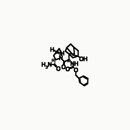 NC(=O)[C@@H]1C[C@@H]2C[C@@H]2N1C(=O)[C@@H](NC(=O)OCc1ccccc1)C12CC3CC(CC(O)(C3)C1)C2